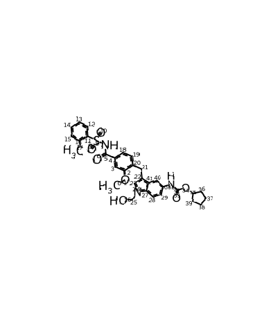 COc1cc(C(=O)NS(=O)(=O)c2ccccc2C)ccc1Cc1cn(CO)c2ccc(NC(=O)OC3CCCC3)cc12